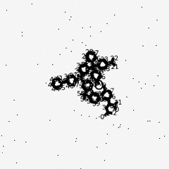 CC(C)CC(c1ccc(COc2ccc(C3(c4ccc(C(C)C)cc4)c4ccccc4-c4ccc(N(c5ccc(-c6ccccc6)cc5)c5ccc6c(c5)C(C)(C)c5ccccc5-6)cc43)cc2)cc1)C(C)C